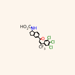 O=C(O)NC1CCc2cc(C(=O)C=C(c3cc(Cl)c(Cl)c(Cl)c3)C(F)(F)F)ccc21